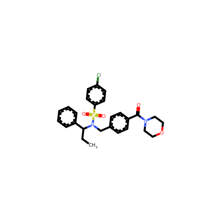 CCC(c1ccccc1)N(Cc1ccc(C(=O)N2CCOCC2)cc1)S(=O)(=O)c1ccc(Cl)cc1